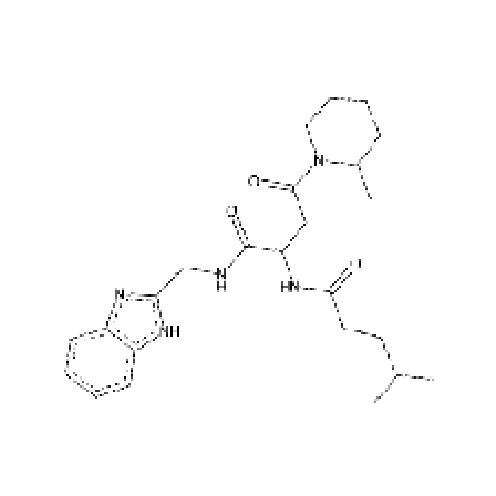 CC(C)CCC(=O)NC(CC(=O)N1CCCCC1C)C(=O)NCc1nc2ccccc2[nH]1